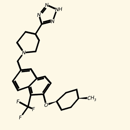 C[C@H]1CC[C@@H](Oc2ccc3cc(CN4CCC(c5nn[nH]n5)CC4)ccc3c2C(F)(F)F)CC1